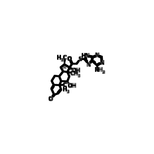 C[C@@H]1CC2C3CCC4=CC(=O)C=CC4(C)C3[C@@H](O)CC2(C)[C@@]1(O)C(=O)CSc1nc2c(N)ncnc2[nH]1